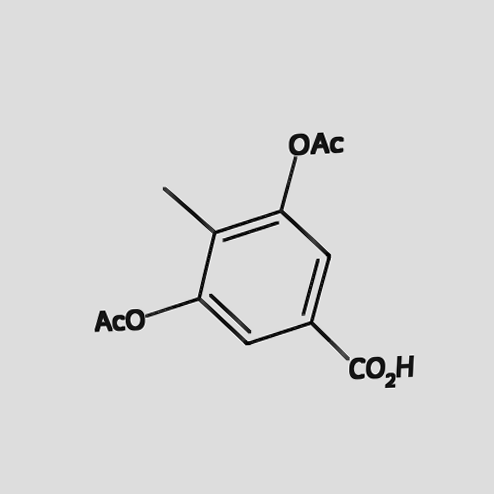 CC(=O)Oc1cc(C(=O)O)cc(OC(C)=O)c1C